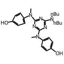 CCCCN(CCCC)c1nc(N(C)c2ccc(O)cc2)nc(N(C)c2ccc(O)cc2)n1